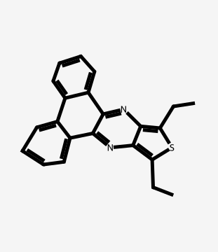 CCc1sc(CC)c2nc3c4ccccc4c4ccccc4c3nc12